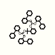 CC(C)(OP(Oc1ccccc1-c1ccccc1)Oc1ccccc1-c1ccccc1)c1ccccc1OP(Oc1ccccc1-c1ccccc1)Oc1ccccc1-c1ccccc1